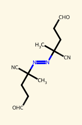 CC(C#N)(CCC=O)/N=N/C(C)(C#N)CCC=O